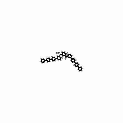 O=c1c2cc(-c3ccc(-c4ccc(-c5ccccc5)cc4)cc3)ccc2oc2ccc3c(c12)Oc1ccc(-c2ccc(-c4ccc(-c5ccccc5)cc4)cc2)cc1C3O